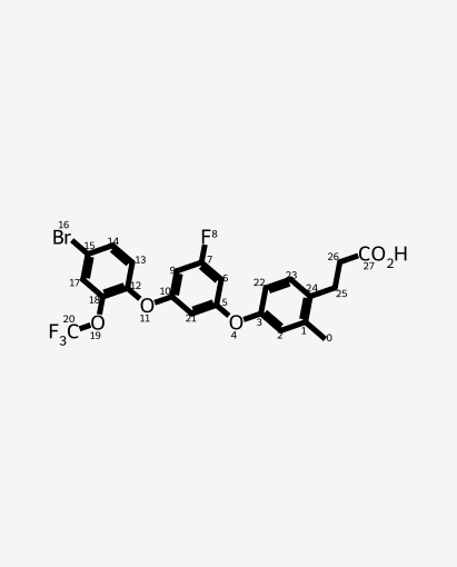 Cc1cc(Oc2cc(F)cc(Oc3ccc(Br)cc3OC(F)(F)F)c2)ccc1CCC(=O)O